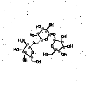 N[C@H]1[C@H](OC[C@H]2O[C@H](O[C@H]3O[C@H](CO)[C@@H](O)[C@H](O)[C@H]3O)[C@H](O)[C@@H](O)[C@@H]2O)O[C@H](CO)[C@@H](O)[C@@H]1O